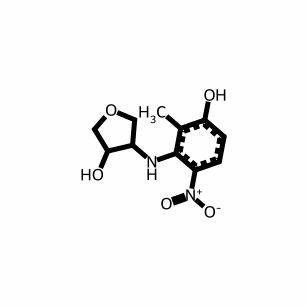 Cc1c(O)ccc([N+](=O)[O-])c1NC1COCC1O